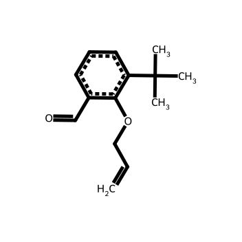 C=CCOc1c(C=O)cccc1C(C)(C)C